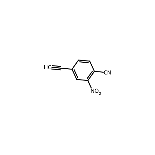 C#Cc1ccc(C#N)c([N+](=O)[O-])c1